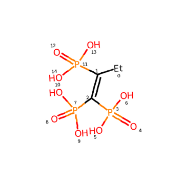 CCC(=C(P(=O)(O)O)P(=O)(O)O)P(=O)(O)O